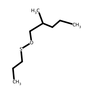 CCCSOCC(C)CCC